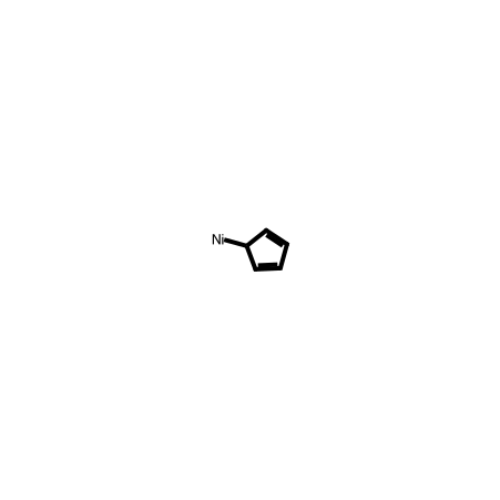 [Ni][CH]1C=CC=C1